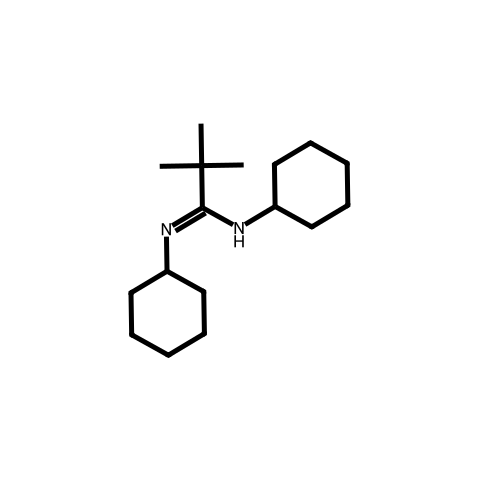 CC(C)(C)C(=NC1CCCCC1)NC1CCCCC1